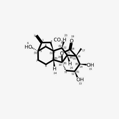 C=C1C[C@]23C[C@@]1(O)CC[C@H]2[C@@]12C[C@H](O)[C@H](O)[C@@](C)(C(=O)O1)[C@H]2[C@@H]3C(=O)O